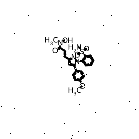 COc1ccc(-c2cc(C=CC(=O)N(C)O)nn2-c2ccccc2S(N)(=O)=O)cc1